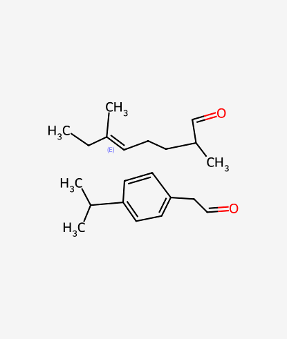 CC(C)c1ccc(CC=O)cc1.CC/C(C)=C/CCC(C)C=O